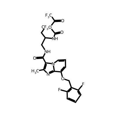 Cc1nc2c(OCc3c(F)cccc3F)cccn2c1C(=O)NCC(CC(F)(F)F)NC(=O)OC(=O)C(F)(F)F